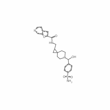 NS(=O)(=O)c1ccc(C(O)N2CCC3(CC2)CC3CNC(=O)c2cc3ccncc3o2)cc1